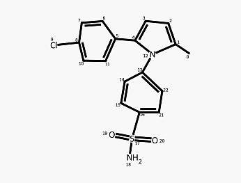 Cc1ccc(-c2ccc(Cl)cc2)n1-c1ccc(S(N)(=O)=O)cc1